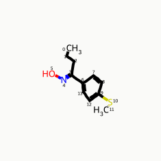 CCCC(=NO)c1ccc(SC)cc1